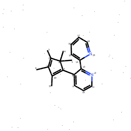 CC1=C(C)C(C)(C)C(c2cccnc2-c2ccccn2)=C1C